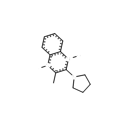 Cc1c(N2CCCC2)[n+]([O-])c2ccccc2[n+]1[O-]